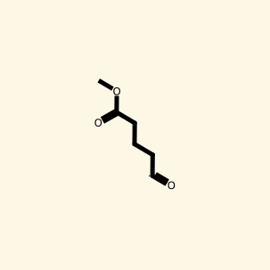 COC(=O)CCC[C]=O